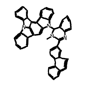 CN1C(c2ccc3c(ccc4ccccc43)c2)=Nc2ccccc2C1n1c2ccccc2c2c3c4ccccc4n4c5ccccc5c(cc21)c34